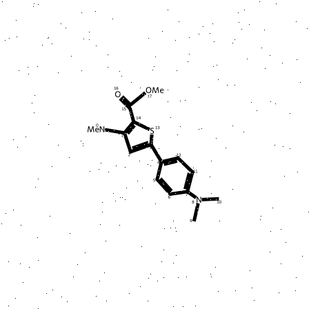 CNc1cc(-c2ccc(N(C)C)cc2)sc1C(=O)OC